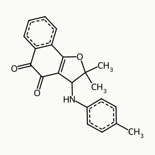 Cc1ccc(NC2C3=C(OC2(C)C)c2ccccc2C(=O)C3=O)cc1